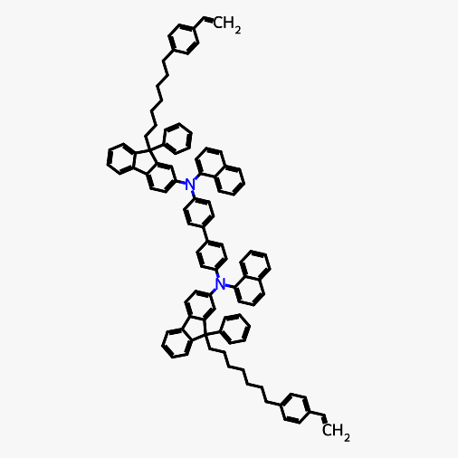 C=Cc1ccc(CCCCCCCC2(c3ccccc3)c3ccccc3-c3ccc(N(c4ccc(-c5ccc(N(c6ccc7c(c6)C(CCCCCCCc6ccc(C=C)cc6)(c6ccccc6)c6ccccc6-7)c6cccc7ccccc67)cc5)cc4)c4cccc5ccccc45)cc32)cc1